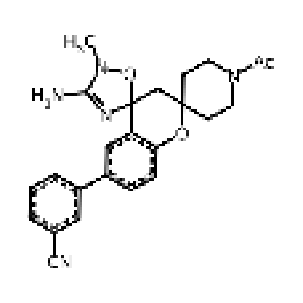 CC(=O)N1CCC2(CC1)CC1(N=C(N)N(C)O1)c1cc(-c3cccc(C#N)c3)ccc1O2